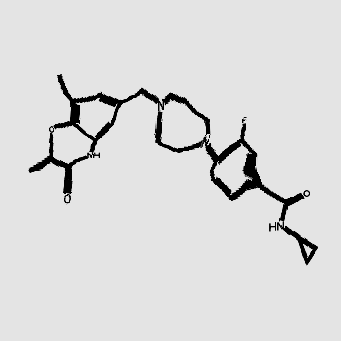 Cc1cc(CN2CCN(c3ccc(C(=O)NC4CC4)cc3F)CC2)cc2c1OC(C)C(=O)N2